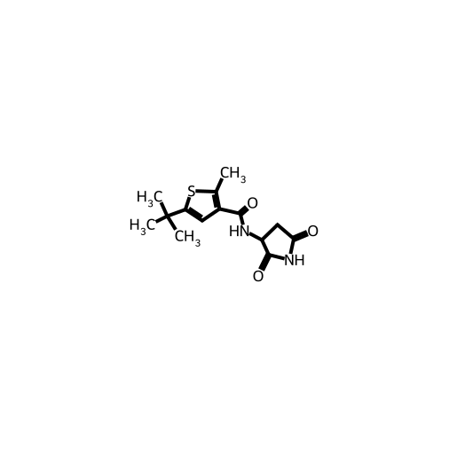 Cc1sc(C(C)(C)C)cc1C(=O)NC1CC(=O)NC1=O